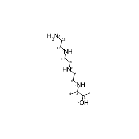 CC(O)C(C)NCCNCCNCCN